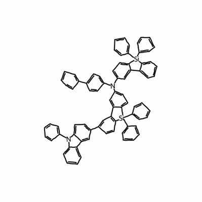 c1ccc(-c2ccc(N(c3ccc4c(c3)-c3ccccc3[Si]4(c3ccccc3)c3ccccc3)c3ccc4c(c3)-c3cc(-c5ccc6c(c5)c5ccccc5n6-c5ccccc5)ccc3[Si]4(c3ccccc3)c3ccccc3)cc2)cc1